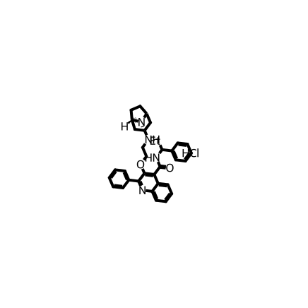 CCC(NC(=O)c1c(OCCNC2CC3CC[C@@H](C2)N3C)c(-c2ccccc2)nc2ccccc12)c1ccccc1.Cl